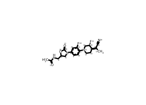 CC(=O)NCC1CN(c2ccc(N3CC/C(=C(\C)C#N)[C@H](F)C3)c(F)c2)C(=O)O1